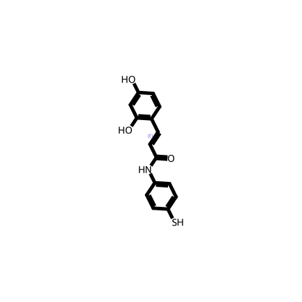 O=C(/C=C/c1ccc(O)cc1O)Nc1ccc(S)cc1